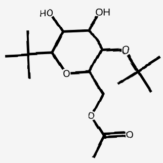 CC(=O)OCC1OC(C(C)(C)C)C(O)C(O)C1OC(C)(C)C